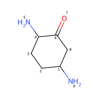 NC1CCC(N)C(=O)C1